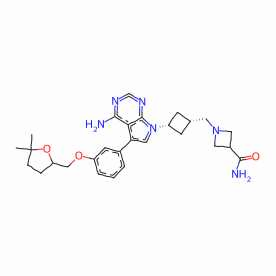 CC1(C)CCC(COc2cccc(-c3cn([C@H]4C[C@@H](CN5CC(C(N)=O)C5)C4)c4ncnc(N)c34)c2)O1